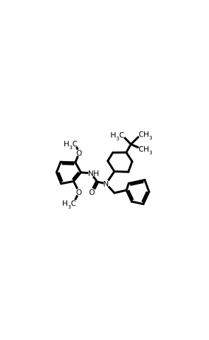 COc1cccc(OC)c1NC(=O)N(Cc1ccccc1)C1CCC(C(C)(C)C)CC1